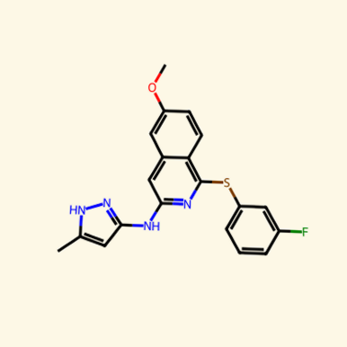 COc1ccc2c(Sc3cccc(F)c3)nc(Nc3cc(C)[nH]n3)cc2c1